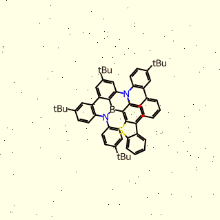 CC(C)(C)c1ccc(N2B3c4c(cc(C(C)(C)C)cc4N(c4ccc(C(C)(C)C)cc4-c4ccccc4)c4ccc5c(sc6ccccc65)c43)-c3cc(C(C)(C)C)ccc32)cc1